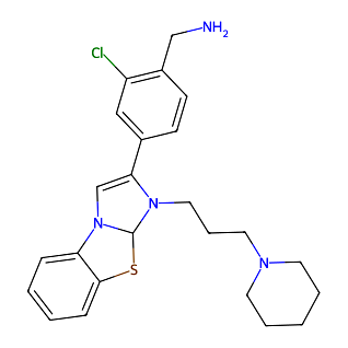 NCc1ccc(C2=CN3c4ccccc4SC3N2CCCN2CCCCC2)cc1Cl